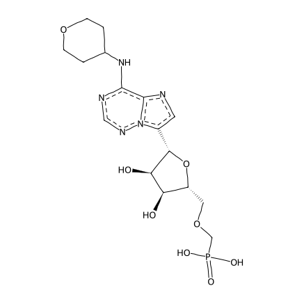 O=P(O)(O)COC[C@H]1O[C@@H](c2cnc3c(NC4CCOCC4)ncnn23)[C@H](O)[C@@H]1O